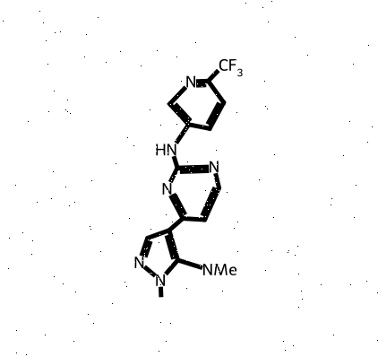 CNc1c(-c2ccnc(Nc3ccc(C(F)(F)F)nc3)n2)cnn1C